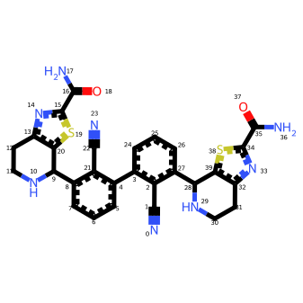 N#Cc1c(-c2cccc(C3NCCc4nc(C(N)=O)sc43)c2C#N)cccc1C1NCCc2nc(C(N)=O)sc21